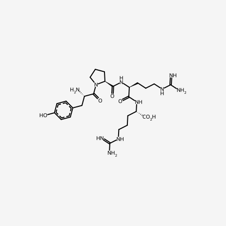 N=C(N)NCCC[C@H](NC(=O)[C@H](CCCNC(=N)N)NC(=O)[C@@H]1CCCN1C(=O)[C@@H](N)Cc1ccc(O)cc1)C(=O)O